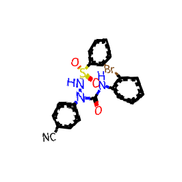 N#Cc1ccc(N(NS(=O)(=O)c2ccccc2)C(=O)Nc2ccccc2Br)cc1